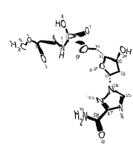 COC(=O)CNP(=O)(O)OC[C@H]1O[C@@H](n2cnc(C(N)=O)n2)C[C@@H]1O